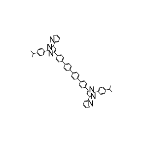 CC(C)c1ccc(-c2nc(-c3ccc(-c4ccc(-c5ccc(-c6ccc(-c7cc(-c8ccccn8)nc(-c8ccc(C(C)C)cc8)n7)cc6)cc5)cc4)cc3)cc(-c3ccccn3)n2)cc1